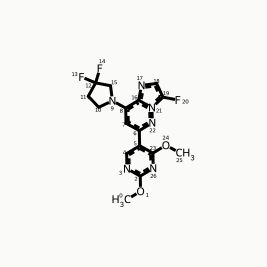 COc1ncc(-c2cc(N3C[CH]C(F)(F)C3)c3ncc(F)n3n2)c(OC)n1